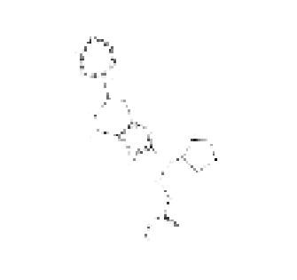 CC(C)(C)OC(=O)CCN(c1nc2c(s1)CC(c1ccccc1)CC2)C1CCCC1